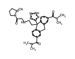 CN(C)C(=O)c1ccc2c(c1)Cc1cc(C(=O)N(C)C)ccc1C2(CCNCC(=O)N1CCC[C@H]1C#N)c1nn[nH]n1